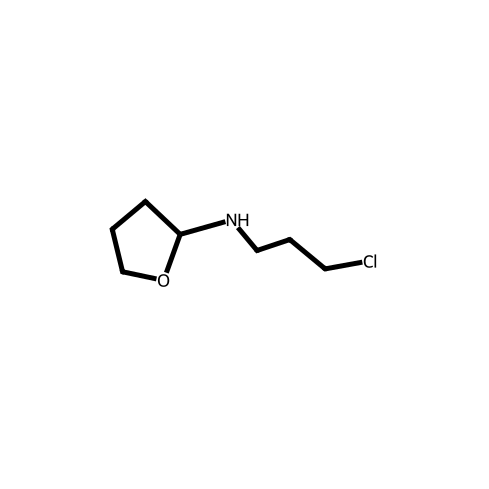 ClCCCNC1CCCO1